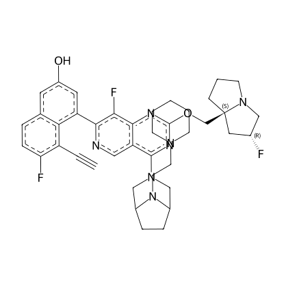 C#Cc1c(F)ccc2cc(O)cc(-c3ncc4c(N5CC6CCC(C5)N6CCN5CCCCC5)nc(OC[C@@]56CCCN5C[C@H](F)C6)nc4c3F)c12